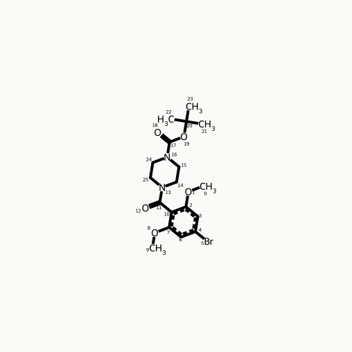 COc1cc(Br)cc(OC)c1C(=O)N1CCN(C(=O)OC(C)(C)C)CC1